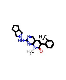 Cc1ccccc1-c1cc2cnc(NN3CC4CCCC4C3)nc2n(C)c1=O